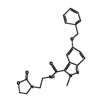 Cn1nc2ccc(OCc3ccccc3)cc2c1C(=O)NCCN1CCOC1=O